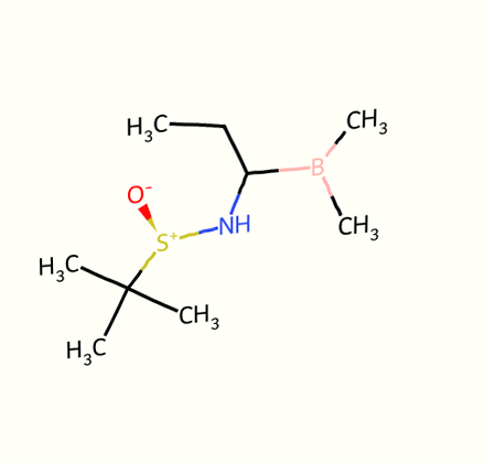 CCC(N[S@+]([O-])C(C)(C)C)B(C)C